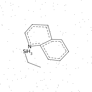 CC[SiH3].c1ccc2ncccc2c1